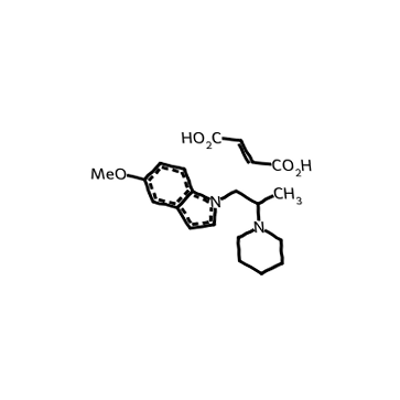 COc1ccc2c(ccn2CC(C)N2CCCCC2)c1.O=C(O)/C=C/C(=O)O